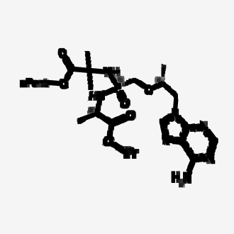 CCCCCOC(=O)C(C)(C)N[P@](=O)(CO[C@H](C)Cn1cnc2c(N)ncnc21)N[C@H](C)C(=O)OC(C)C